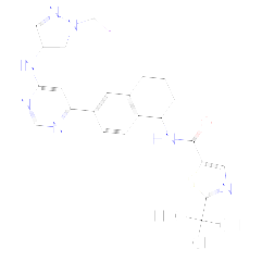 CC(C)(C)c1ncc(C(=O)NC2CCCc3cc(-c4cc(Nc5cnn(CI)c5)ncn4)ccc32)s1